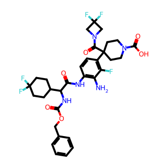 Nc1c(NC(=O)C(NC(=O)OCc2ccccc2)C2CCC(F)(F)CC2)ccc(C2(C(=O)N3CC(F)(F)C3)CCN(C(=O)O)CC2)c1F